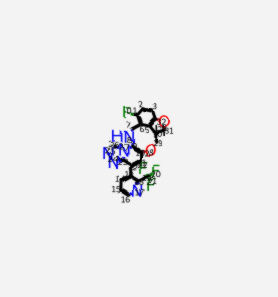 Fc1ccc2c3c1CNc1c(cc(-c4cccnc4C(F)(F)F)c4nncn14)OC[C@H]3CO2